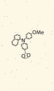 COc1ccc(N(c2ccc(C3OCCO3)cc2)c2cccc3ccccc23)cc1